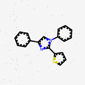 c1ccc(-c2cn(-c3ccccc3)c(-c3cccs3)n2)cc1